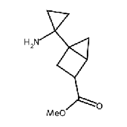 COC(=O)C1CC2(C3(N)CC3)CC12